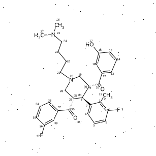 Cc1c(F)cccc1[C@@H]1[C@@H](C(=O)c2cccc(O)c2)CN(CCCCN(C)C)C[C@H]1C(=O)c1cccc(F)c1